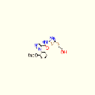 COc1ccccc1-n1cncc1C(=O)Nc1nnc(SCCO)s1